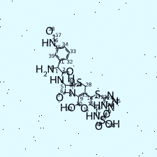 NC(C(=O)NC1C(=O)N2C(C(=O)O)=C(C(CCNS(=O)(=O)O)Sc3nnn[nH]3)CS[C@@H]12)c1cccc(NC=O)c1